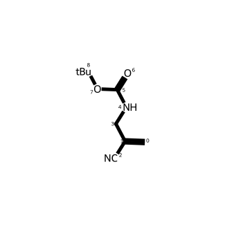 C=C(C#N)CNC(=O)OC(C)(C)C